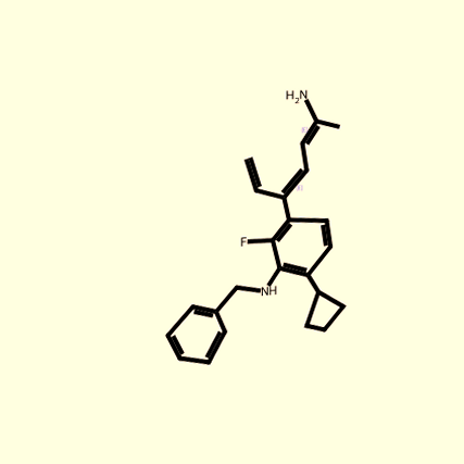 C=C/C(=C\C=C(/C)N)c1ccc(C2CCC2)c(NCc2ccccc2)c1F